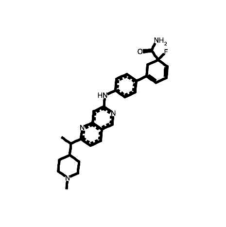 CC(c1ccc2cnc(Nc3ccc(C4=CC=CC(F)(C(N)=O)C4)cc3)cc2n1)C1CCN(C)CC1